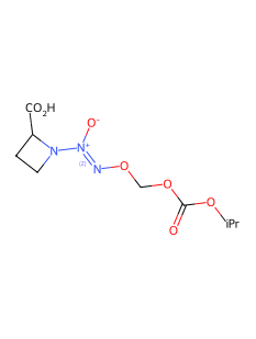 CC(C)OC(=O)OCO/N=[N+](\[O-])N1CCC1C(=O)O